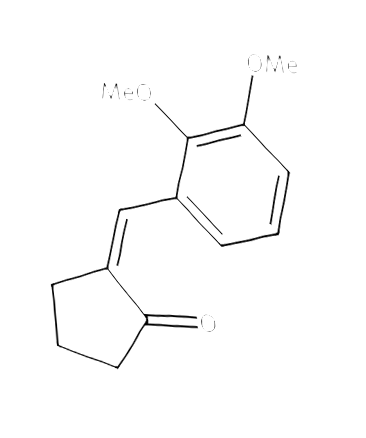 COc1cccc(C=C2CCCC2=O)c1OC